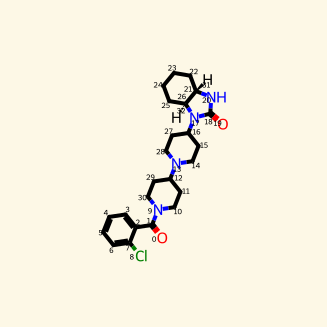 O=C(c1ccccc1Cl)N1CCC(N2CCC(N3C(=O)N[C@H]4CCCC[C@@H]43)CC2)CC1